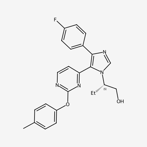 CC[C@@H](CO)n1cnc(-c2ccc(F)cc2)c1-c1ccnc(Oc2ccc(C)cc2)n1